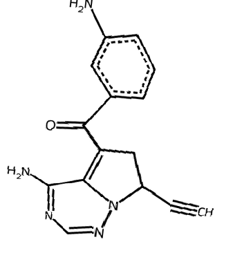 C#CC1CC(C(=O)c2cccc(N)c2)=C2C(N)=NC=NN21